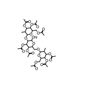 CC(=O)OCC1OC(OCC2OC(O)C(OC3OC(COC(C)=O)C(OC(C)=O)C(OC(C)=O)C3C)C(OC(C)=O)C2OC(C)=O)C(C)C(OC(C)=O)C1OC(C)=O